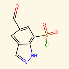 O=Cc1cc(S(=O)(=O)Cl)c2[nH]ncc2c1